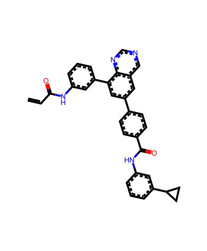 C=CC(=O)Nc1cccc(-c2cc(-c3ccc(C(=O)Nc4cccc(C5CC5)c4)cc3)cc3cncnc23)c1